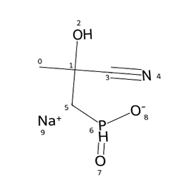 CC(O)(C#N)C[PH](=O)[O-].[Na+]